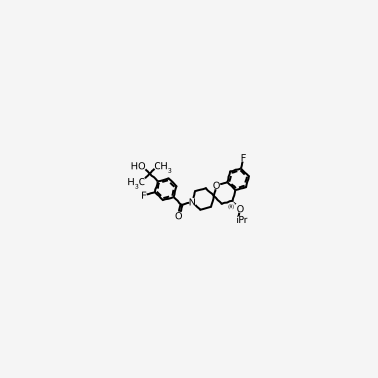 CC(C)O[C@@H]1CC2(CCN(C(=O)c3ccc(C(C)(C)O)c(F)c3)CC2)Oc2cc(F)ccc21